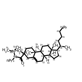 CCCN(C(=O)C1(O)CC[C@@]2(C)C(=CC[C@H]3[C@@H]4CC[C@H]([C@H](C)CCCC(C)C)[C@@]4(C)CC[C@@H]32)C1)N(C)C